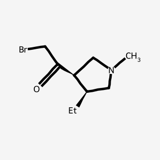 CC[C@@H]1CN(C)C[C@@H]1C(=O)CBr